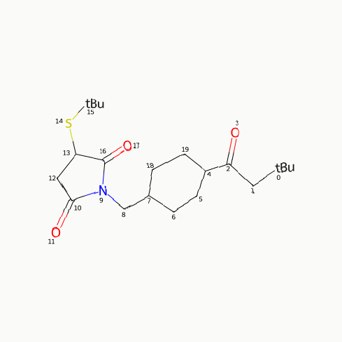 CC(C)(C)CC(=O)C1CCC(CN2C(=O)CC(SC(C)(C)C)C2=O)CC1